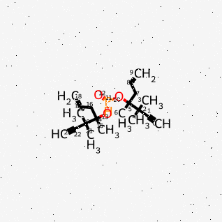 C#CC(C)(C)C(C)(CC=C)O[PH](=O)OC(C)(CC=C)C(C)(C)C#C